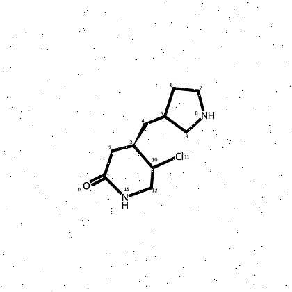 O=C1C[C@@H](CC2CCNC2)C(Cl)CN1